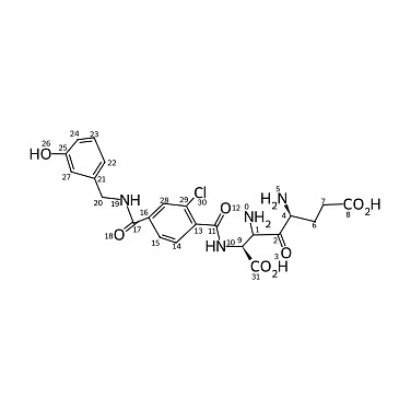 NC(C(=O)[C@@H](N)CCC(=O)O)[C@H](NC(=O)c1ccc(C(=O)NCc2cccc(O)c2)cc1Cl)C(=O)O